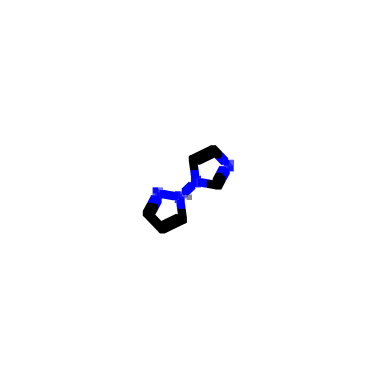 C1=C[N+](n2ccnc2)N=C1